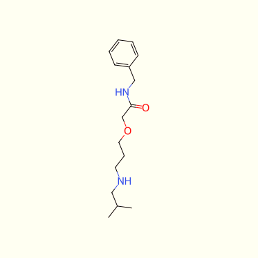 CC(C)CNCCCOCC(=O)NCc1ccccc1